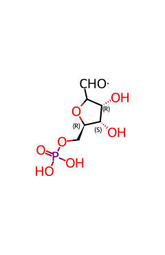 O=[C]C1O[C@H](COP(=O)(O)O)[C@@H](O)[C@H]1O